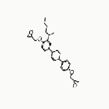 CCCCC(C)c1cc(C2C=CC(c3ccc(OCC4CO4)cc3)CC2)ccc1OCC1CO1